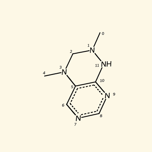 CN1CN(C)c2cncnc2N1